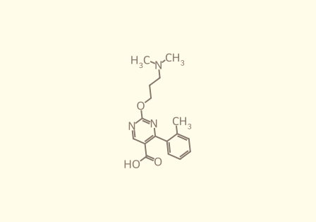 Cc1ccccc1-c1nc(OCCCN(C)C)ncc1C(=O)O